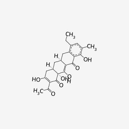 CCc1cc(C)c(O)c2c1C[C@@H]1C[C@@H]3CC(O)=C(C(C)=O)C(=O)[C@]3(O)C(O)=C1C2=O